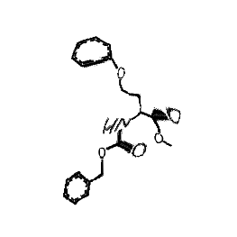 COC(=O)[C@H](CCOc1ccccc1)NC(=O)OCc1ccccc1